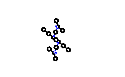 c1ccc(-c2ccc(-c3cc4cc5c(cc(-c6ccc(-c7ccccc7)cc6)n5-c5ccc(-n6nc(-c7ccccc7)cc6-c6ccccc6)cc5)cc4n3-c3ccc(-n4nc(-c5ccccc5)cc4-c4ccccc4)cc3)cc2)cc1